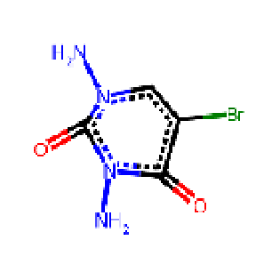 Nn1cc(Br)c(=O)n(N)c1=O